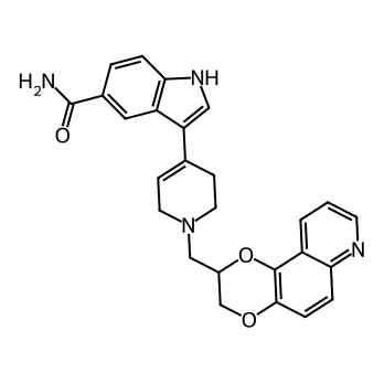 NC(=O)c1ccc2[nH]cc(C3=CCN(CC4COc5ccc6ncccc6c5O4)CC3)c2c1